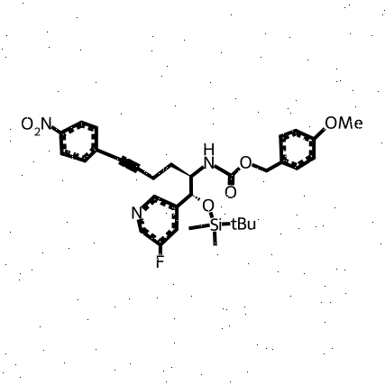 COc1ccc(COC(=O)N[C@H](CCC#Cc2ccc([N+](=O)[O-])cc2)[C@H](O[Si](C)(C)C(C)(C)C)c2cncc(F)c2)cc1